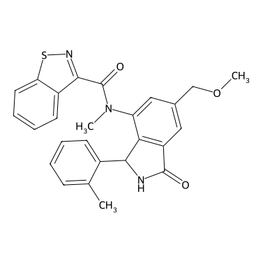 COCc1cc2c(c(N(C)C(=O)c3nsc4ccccc34)c1)C(c1ccccc1C)NC2=O